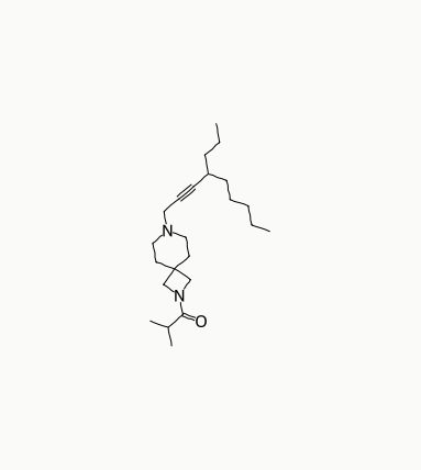 CCCCCC(C#CCN1CCC2(CC1)CN(C(=O)C(C)C)C2)CCC